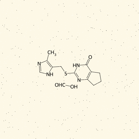 Cc1nc[nH]c1CSc1nc2c(c(=O)[nH]1)CCC2.O=CO